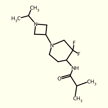 CC(C)C(=O)NC1CCN(C2CN(C(C)C)C2)CC1(F)F